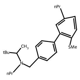 CCCc1ccc(SC)c(-c2ccc(CN(CCC)C(C)C(C)(C)C)cc2)c1